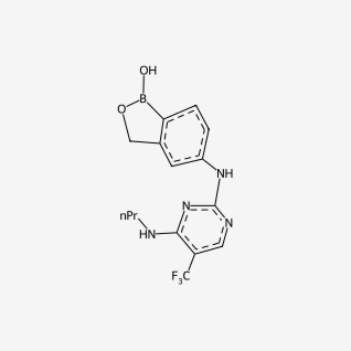 CCCNc1nc(Nc2ccc3c(c2)COB3O)ncc1C(F)(F)F